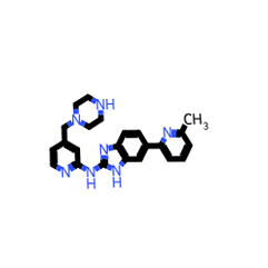 Cc1cccc(-c2ccc3nc(Nc4cc(CN5CCNCC5)ccn4)[nH]c3c2)n1